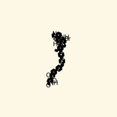 CCc1cc(Nc2ncc(Br)c(Nc3ccc4nccnc4c3NS(C)(=O)=O)n2)c(OC)cc1N1CCC(N2CCN(CC3CCN(c4ccc5c(c4)CN(C4CCC(=O)NC4=O)C5=O)CC3)CC2)CC1